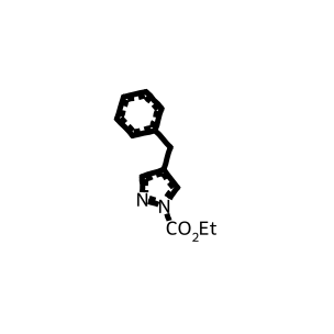 CCOC(=O)n1cc(Cc2ccccc2)cn1